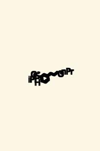 CCCOCCCc1cccc([SH](C)(=O)C(C)C)c1